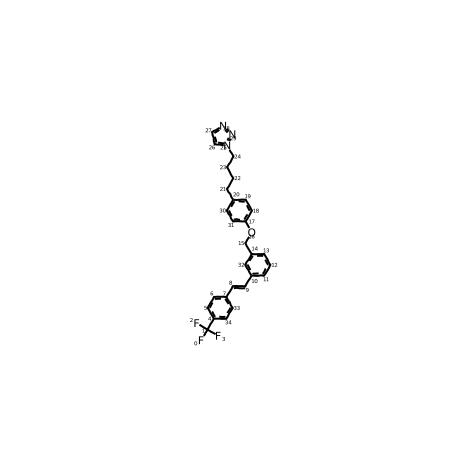 FC(F)(F)c1ccc(/C=C/c2cccc(COc3ccc(CCCCn4ccnn4)cc3)c2)cc1